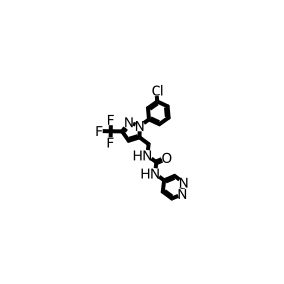 O=C(NCc1cc(C(F)(F)F)nn1-c1cccc(Cl)c1)Nc1ccnnc1